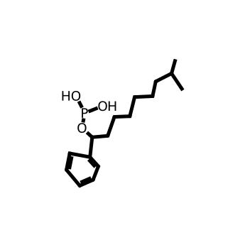 CC(C)CCCCCCC(OP(O)O)c1ccccc1